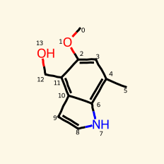 COc1cc(C)c2[nH]ccc2c1CO